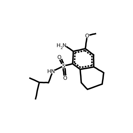 COc1cc2c(c(S(=O)(=O)NCC(C)C)c1N)CCCC2